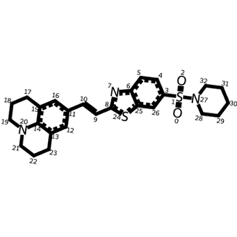 O=S(=O)(c1ccc2nc(/C=C/c3cc4c5c(c3)CCCN5CCC4)sc2c1)N1CCCCC1